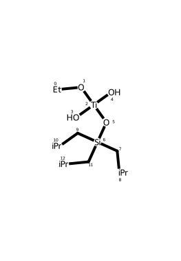 CC[O][Ti]([OH])([OH])[O][Si](CC(C)C)(CC(C)C)CC(C)C